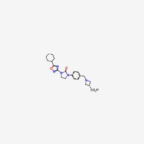 O=C(O)C1CN(Cc2ccc(N3CCN(c4noc(C5CCCCC5)n4)C3=O)cc2)C1